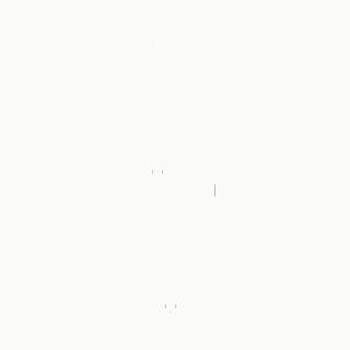 O=Cc1ccc(OCc2ccc(Cl)cc2)c(Cl)c1